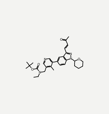 CCN(Cc1cncc(-c2ccc3c(c2)c(C=CC(C)=O)nn3C2CCCCO2)c1C)C(=O)OC(C)(C)C